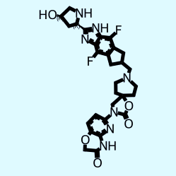 O=C1COc2ccc(N3CC4(CCN(CC5Cc6c(c(F)c7[nH]c([C@H]8C[C@@H](O)CN8)nc7c6F)C5)CC4)OC3=O)nc2N1